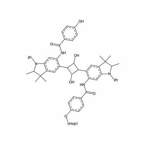 CCCCCCCOc1ccc(C(=O)Nc2cc3c(cc2C2C(O)C(c4cc5c(cc4NC(=O)c4ccc(O)cc4)N(C(C)C)C(C)C5(C)C)C2O)C(C)(C)C(C)N3C(C)C)cc1